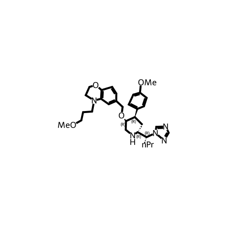 CCC[C@H]([C@H]1C[C@H](c2ccc(OC)cc2)[C@@H](OCc2ccc3c(c2)N(CCCOC)CCO3)CN1)n1cncn1